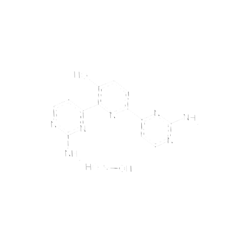 Nc1nccc(-c2ccc(O)c(-c3ccnc(N)n3)n2)n1.O=S(=O)(O)O